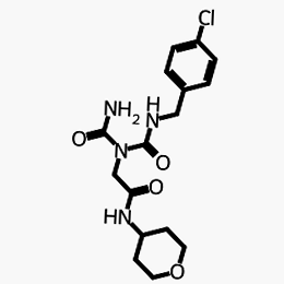 NC(=O)N(CC(=O)NC1CCOCC1)C(=O)NCc1ccc(Cl)cc1